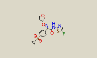 O=C(Nc1ncc(F)s1)/C(=N/OC1CCOC1)c1ccc(S(=O)(=O)C2CC2)cc1